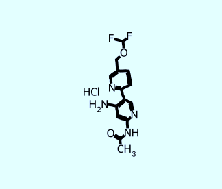 CC(=O)Nc1cc(N)c(-c2ccc(COC(F)F)cn2)cn1.Cl